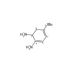 CC(C)(C)C1=CC=C(N)C(N)C1